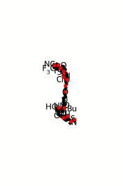 Cc1ncsc1-c1ccc(CNC(=O)[C@@H]2C[C@@H](O)CN2C(=O)[C@@H](NC(=O)COCCCOCCCCCOc2ncc(N3C(=S)N(c4ccc(C#N)c(C(F)(F)F)c4F)C(=O)C3(C)C)cc2Cl)C(C)(C)C)cc1